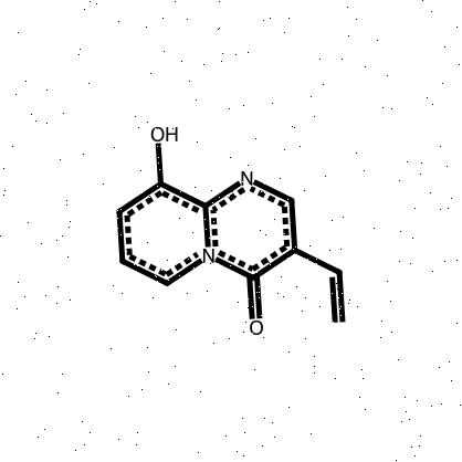 C=Cc1cnc2c(O)cccn2c1=O